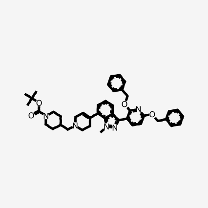 Cn1nc(-c2ccc(OCc3ccccc3)nc2OCc2ccccc2)c2cccc(C3=CCN(CC4CCN(C(=O)OC(C)(C)C)CC4)CC3)c21